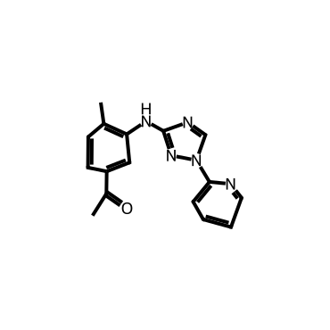 CC(=O)c1ccc(C)c(Nc2ncn(-c3ccccn3)n2)c1